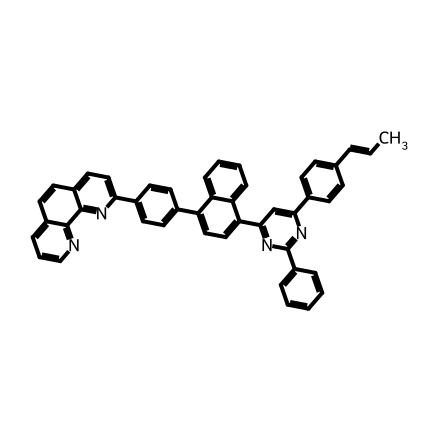 C/C=C/c1ccc(-c2cc(-c3ccc(-c4ccc(-c5ccc6ccc7cccnc7c6n5)cc4)c4ccccc34)nc(-c3ccccc3)n2)cc1